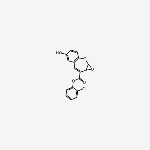 O=C(Oc1ccccc1Cl)C1=Cc2cc(O)ccc2OC2OC12